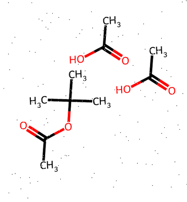 CC(=O)O.CC(=O)O.CC(=O)OC(C)(C)C